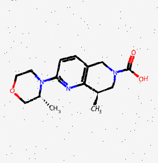 C[C@@H]1CN(C(=O)O)Cc2ccc(N3CCOC[C@H]3C)nc21